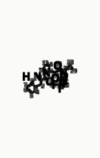 N[C@@H](Cc1ccccc1)C(=O)N1CCCC1C(OC(=O)C(F)(F)F)C(=O)NC1CC1